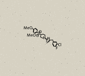 COc1ccc(S(=O)(=O)C2CCN(c3nc(Cc4ccc(F)c(Cl)c4)cs3)CC2)c(OC)c1